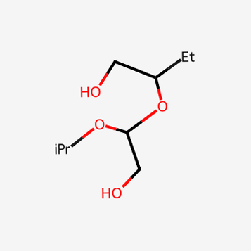 CCC(CO)OC(CO)OC(C)C